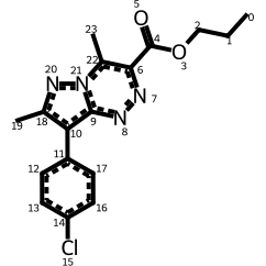 CCCOC(=O)c1nnc2c(-c3ccc(Cl)cc3)c(C)nn2c1C